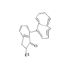 CCC1Cc2cccc(-c3cccc4ccccc34)c2C1=O